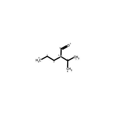 CCCN(C=O)C(C)C